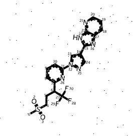 CS(=O)(=O)CCC(c1cccc(-n2cc(-c3nc4cccnc4[nH]3)cn2)n1)C(F)(F)F